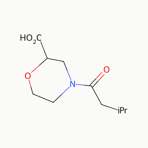 CC(C)CC(=O)N1CCOC(C(=O)O)C1